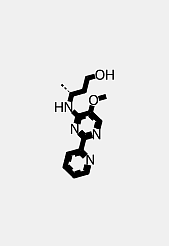 COc1cnc(-c2ccccn2)nc1N[C@H](C)CCO